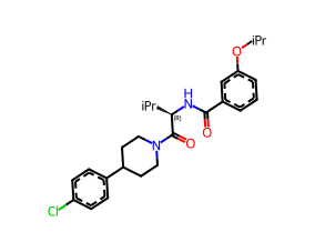 CC(C)Oc1cccc(C(=O)N[C@@H](C(=O)N2CCC(c3ccc(Cl)cc3)CC2)C(C)C)c1